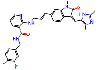 Cc1nc(C)c(/C=C2\C(=O)Nc3cc(/C=C/CNc4ncccc4C(=O)NCc4ccc(F)c(F)c4)ccc32)[nH]1